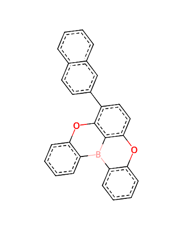 c1ccc2c(c1)Oc1ccc(-c3ccc4ccccc4c3)c3c1B2c1ccccc1O3